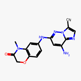 CN1C(=O)COc2ccc(Nc3cc(N)c4ncc(C#N)n4n3)cc21